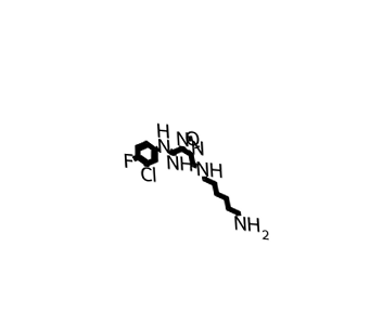 N=C(Nc1ccc(F)c(Cl)c1)c1nonc1CNCCCCCCN